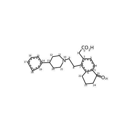 O=C(O)Cc1ccc2c(c1CCN1CCC(c3ccccc3)CC1)CCCC2=O